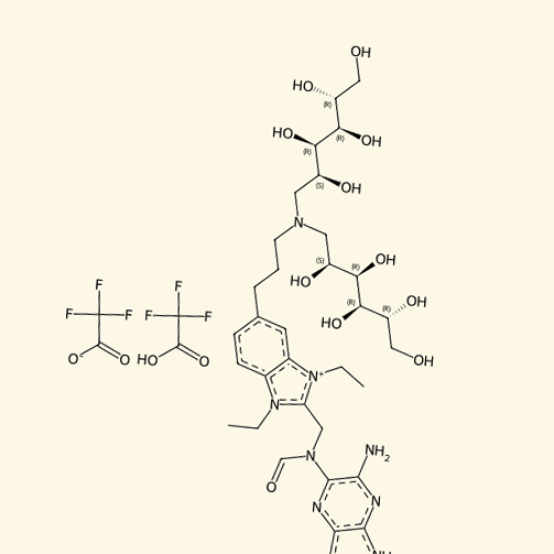 CCn1c(CN(C=O)c2nc3cc[nH]c3nc2N)[n+](CC)c2cc(CCCN(C[C@H](O)[C@@H](O)[C@H](O)[C@H](O)CO)C[C@H](O)[C@@H](O)[C@H](O)[C@H](O)CO)ccc21.O=C(O)C(F)(F)F.O=C([O-])C(F)(F)F